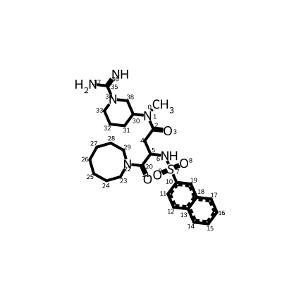 CN(C(=O)CC(NS(=O)(=O)c1ccc2ccccc2c1)C(=O)N1CCCCCCC1)C1CCCN(C(=N)N)C1